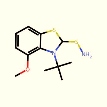 COc1cccc2c1N(C(C)(C)C)C(SN)S2